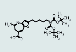 CC(C)(C)OC(=O)N(CCCCCc1cc2c(s1)C=C(C(=O)O)CC(N)=N2)C(=O)OC(C)(C)C